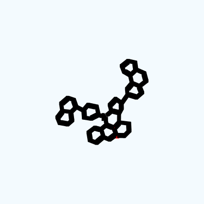 c1ccc(-c2cc(-c3ccc4ccc5ccccc5c4c3)ccc2N(c2ccc(-c3cccc4ccccc34)cc2)c2cccc3ccccc23)cc1